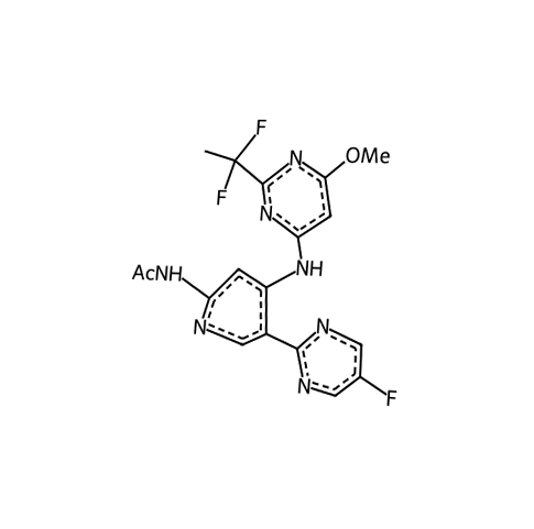 COc1cc(Nc2cc(NC(C)=O)ncc2-c2ncc(F)cn2)nc(C(C)(F)F)n1